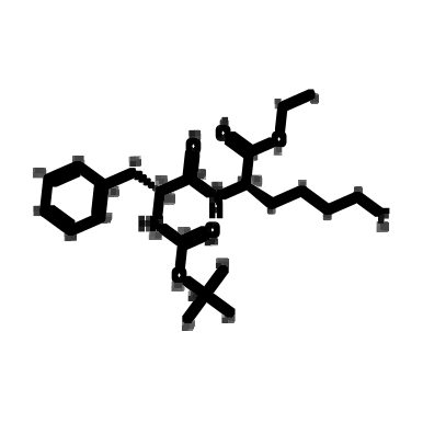 CCOC(=O)[C@@H](CCCCF)NC(=O)[C@@H](Cc1ccccc1)NC(=O)OC(C)(C)C